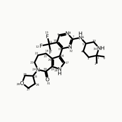 CC1(C)CCC(Nc2ncc(C(F)(F)F)c(-c3c[nH]c4c3CCCN(C3CCOC3)C4=O)n2)CN1